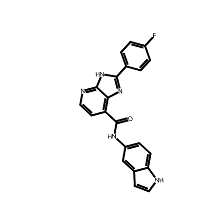 O=C(Nc1ccc2[nH]ccc2c1)c1ccnc2[nH]c(-c3ccc(F)cc3)nc12